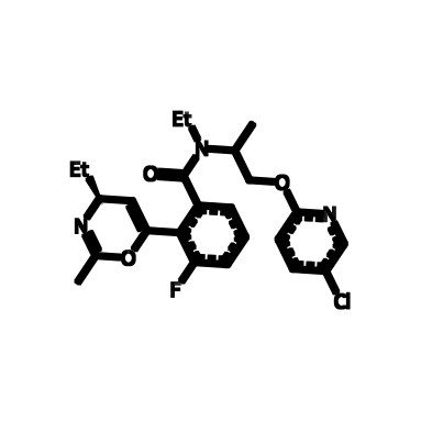 CC[C@H]1C=C(c2c(F)cccc2C(=O)N(CC)C(C)COc2ccc(Cl)cn2)OC(C)=N1